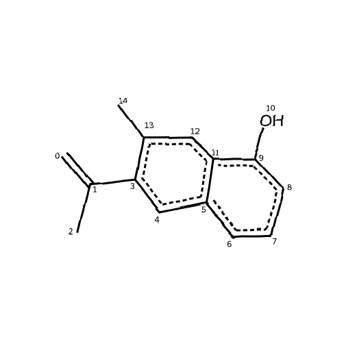 C=C(C)c1cc2cccc(O)c2cc1C